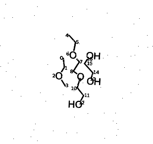 CCOC.CCOCCOCCO.OCCO